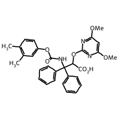 COc1cc(OC)nc(OC(C(=O)O)C(NC(=O)Oc2ccc(C)c(C)c2)(c2ccccc2)c2ccccc2)n1